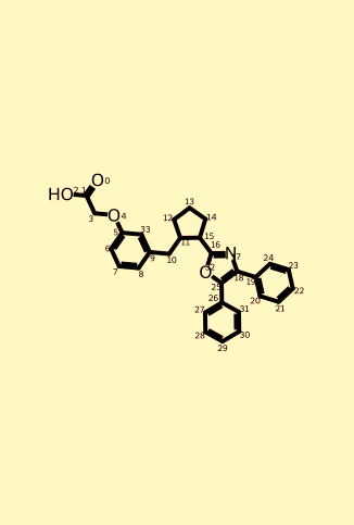 O=C(O)COc1cccc(CC2CCCC2c2nc(-c3ccccc3)c(-c3ccccc3)o2)c1